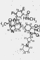 CNC(=O)c1cc(Nc2nc(-c3ccc4c(c3)N([C@H]3C[C@@H](N5CCCCC5)C3)C(=O)C4(C)C)cc3ncn(C(C)C)c23)c(F)cc1F